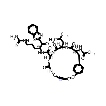 CC(=O)N[C@H]1Cc2ccc(cc2)OC/C=C\CNC(=O)C[C@@H](C(=O)N[C@@H](CCCNC(=N)N)C(=O)c2nc3ccccc3s2)NC(=O)[C@H](CC(C)C)NC1=O